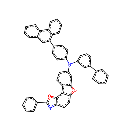 c1ccc(-c2cccc(N(c3ccc(-c4cc5ccccc5c5ccccc45)cc3)c3ccc4c(c3)oc3ccc5nc(-c6ccccc6)oc5c34)c2)cc1